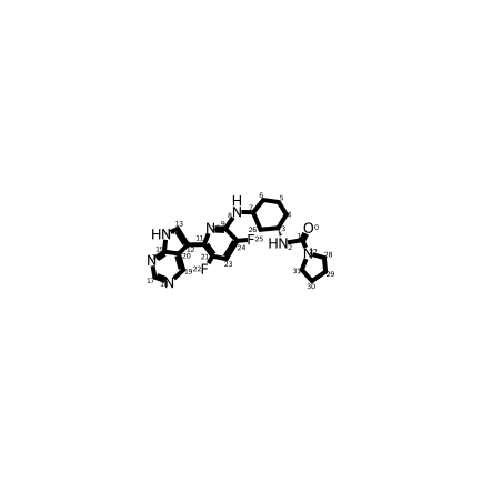 O=C(N[C@H]1CCCC(Nc2nc(-c3c[nH]c4ncncc34)c(F)cc2F)C1)N1CCCC1